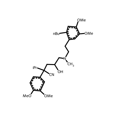 CCCCc1cc(OC)c(OC)cc1CCN(C)CC(O)CC(C#N)(c1ccc(OC)c(OC)c1)C(C)C